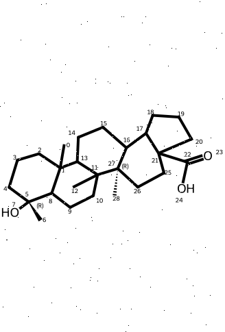 CC12CCC[C@@](C)(O)C1CCC1(C)C2CCC2C3CCCC3(C(=O)O)CC[C@]21C